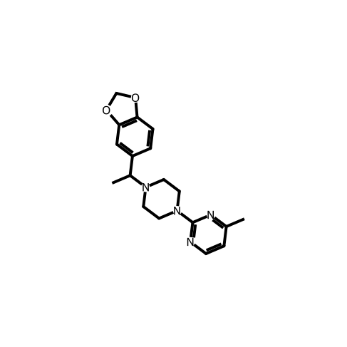 Cc1ccnc(N2CCN(C(C)c3ccc4c(c3)OCO4)CC2)n1